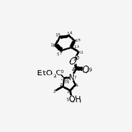 CCOC(=O)[C@@H]1C(C)C(O)CN1C(=O)OCc1ccccc1